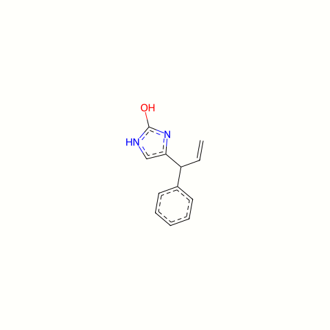 C=CC(c1ccccc1)c1c[nH]c(O)n1